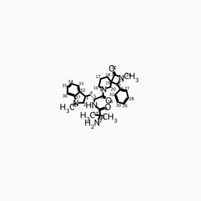 CN1CC(C[C@@H](NC(=O)C(C)(C)N)C(=O)N2CCCC3(C2)C(=O)N(C)C3c2ccccc2)c2ccccc21